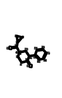 O=C1CCN(C(=O)C2CC2)CC1c1ccccc1